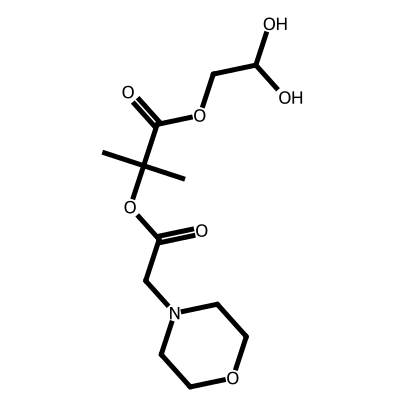 CC(C)(OC(=O)CN1CCOCC1)C(=O)OCC(O)O